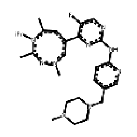 Cc1cc(-c2nc(Nc3ccc(CN4CCN(C)CC4)cn3)ncc2F)cn(C)nc(C)n1C(C)C